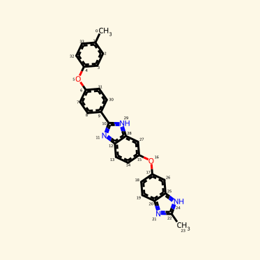 Cc1ccc(Oc2ccc(-c3nc4ccc(Oc5ccc6nc(C)[nH]c6c5)cc4[nH]3)cc2)cc1